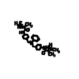 CN[C@@H](C)C(=O)Nc1ccc(CN(Cc2ccc(NC(=O)[C@H](C)NC)cc2)c2ccccc2)cc1